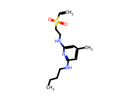 C=CS(=O)(=O)CCNc1cc(C)cc(NCCCC)n1